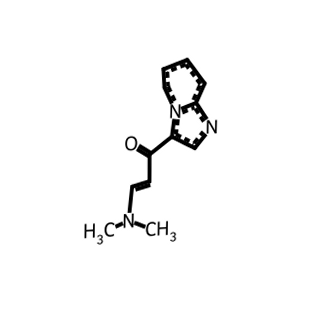 CN(C)/C=C/C(=O)c1cnc2ccccn12